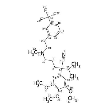 COc1cc(C(C#N)(CCCN(C)CCc2cccc(C(F)(F)F)c2)C(C)C)cc(OC)c1OC